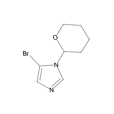 Brc1cncn1C1CCCCO1